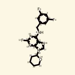 Fc1cc(F)cc(CNc2nc(F)nc3c2ncn3C2CCCCO2)c1